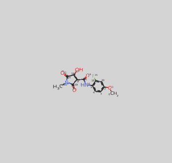 COc1ccc(NC(=O)C2C(=O)N(C)C(=O)C2O)c(F)c1